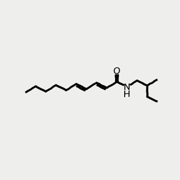 CCCCC/C=C/C=CC(=O)NCC(C)CC